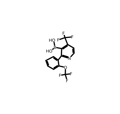 OB(O)c1c(C(F)(F)F)ccnc1-c1ccccc1OC(F)(F)F